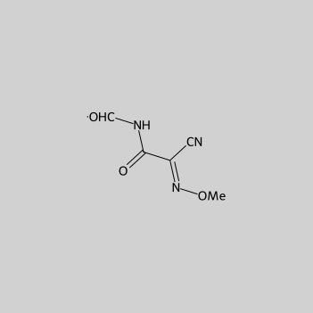 CO/N=C(\C#N)C(=O)N[C]=O